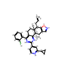 C=CC[C@H]1c2oncc2C[C@@]2(C)c3nc(-c4ccnc(C5CC5)c4)nc(-c4ccccc4F)c3CC[C@H]12